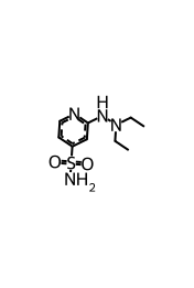 CCN(CC)Nc1cc(S(N)(=O)=O)ccn1